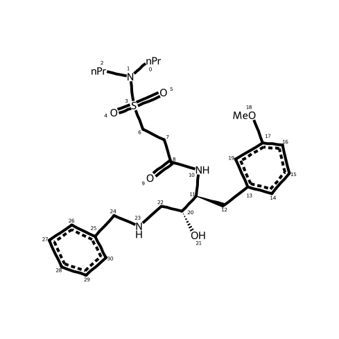 CCCN(CCC)S(=O)(=O)CCC(=O)N[C@@H](Cc1cccc(OC)c1)[C@H](O)CNCc1ccccc1